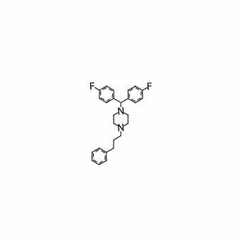 Fc1ccc(C(c2ccc(F)cc2)N2CCN(CCCc3ccccc3)CC2)cc1